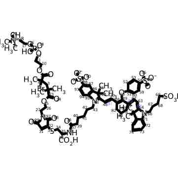 CC(C)(CC(C)(Br)C(=O)OCCOP(=O)(O)OCC[N+](C)(C)C)C(=O)OCCN1C(=O)C=C(SC[C@H](NC(=O)CCCCC[N+]2=C(/C=C/C3=C(Oc4ccc(S(=O)(=O)[O-])cc4)C(=C/C=C4/N(CCCCS(=O)(=O)O)c5ccccc5C4(C)C)/CCC3)C(C)(C)c3cc(S(=O)(=O)[O-])ccc32)C(=O)O)C1=O